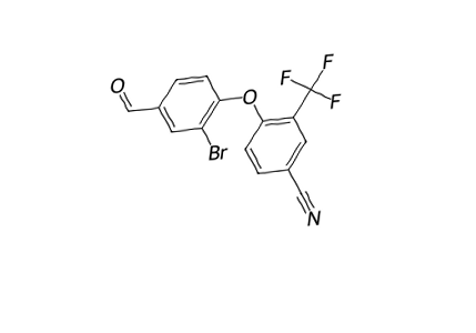 N#Cc1ccc(Oc2ccc(C=O)cc2Br)c(C(F)(F)F)c1